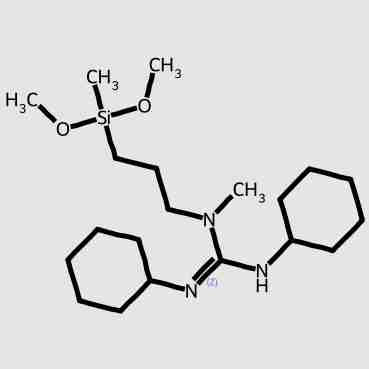 CO[Si](C)(CCCN(C)/C(=N\C1CCCCC1)NC1CCCCC1)OC